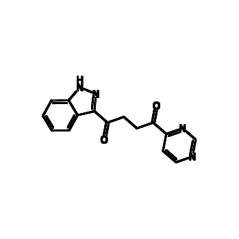 O=C(CCC(=O)c1n[nH]c2ccccc12)c1ccncn1